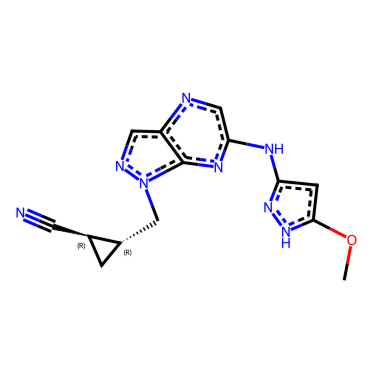 COc1cc(Nc2cnc3cnn(C[C@@H]4C[C@H]4C#N)c3n2)n[nH]1